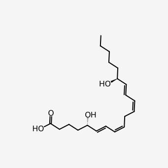 CCCCC[C@H](O)/C=C/C=C\C/C=C\C=C\[C@@H](O)CCCC(=O)O